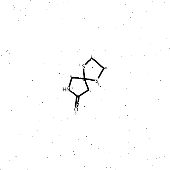 O=C1CC2(CN1)SCCS2